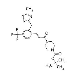 Cc1nnn(Cc2cc(C(F)(F)F)ccc2C=CC(=O)N2CCN(C(=O)OC(C)(C)C)CC2)n1